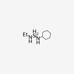 CCN[SiH2]NC1CCCCC1